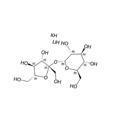 OC[C@H]1O[C@@](CO)(O[C@H]2O[C@H](CO)[C@@H](O)[C@H](O)[C@H]2O)[C@@H](O)[C@@H]1O.[KH].[LiH]